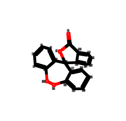 O=C1OC2(c3ccccc3OOc3ccccc32)c2ccccc21